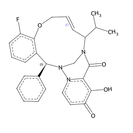 CC(C)C1/C=C/COc2c(F)cccc2[C@H](c2ccccc2)N2CN1C(=O)c1c(O)c(=O)ccn12